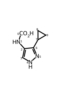 O=C(O)Nc1c[nH]nc1C1CC1